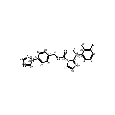 Cc1cccc([C@H](C)c2nccn2C(=O)OCc2ccc(-n3cncn3)cc2)c1C